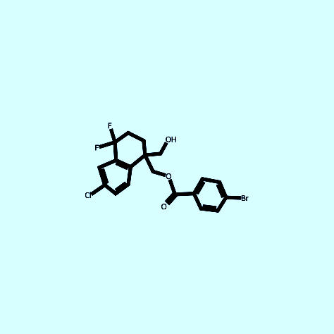 O=C(OCC1(CO)CCC(F)(F)c2cc(Cl)ccc21)c1ccc(Br)cc1